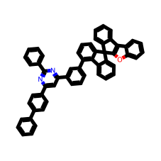 c1ccc(-c2ccc(-c3cc(-c4cccc(-c5cccc6c5-c5ccccc5C65c6ccccc6-c6c5oc5ccccc65)c4)nc(-c4ccccc4)n3)cc2)cc1